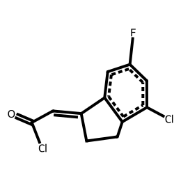 O=C(Cl)/C=C1\CCc2c(Cl)cc(F)cc21